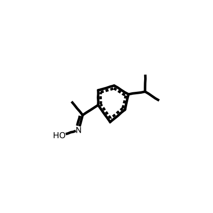 CC(=NO)c1ccc(C(C)C)cc1